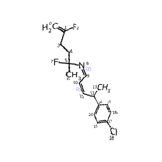 C=C(F)CCC(C)(F)/N=C\C=C/C(C)c1ccc(Cl)cc1